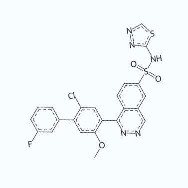 COc1cc(-c2cccc(F)c2)c(Cl)cc1-c1nncc2cc(S(=O)(=O)Nc3nncs3)ccc12